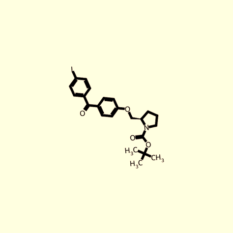 CC(C)(C)OC(=O)N1CCC[C@@H]1COc1ccc(C(=O)c2ccc(I)cc2)cc1